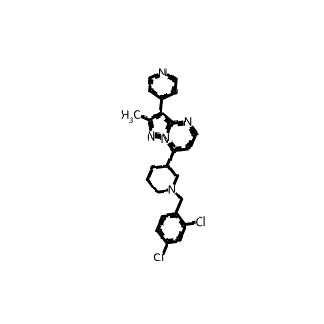 Cc1nn2c(C3CCCN(Cc4ccc(Cl)cc4Cl)C3)ccnc2c1-c1ccncc1